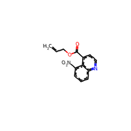 C=CCOC(=O)c1ccnc2cccc([N+](=O)[O-])c12